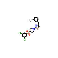 Cc1cccc(Cc2csc(N3CCC(S(=O)(=O)c4cc(Cl)cc(Cl)c4)CC3)n2)c1